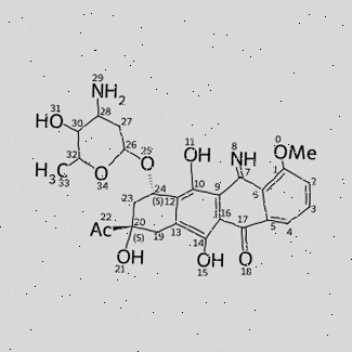 COc1cccc2c1C(=N)c1c(O)c3c(c(O)c1C2=O)C[C@@](O)(C(C)=O)C[C@@H]3OC1CC(N)C(O)C(C)O1